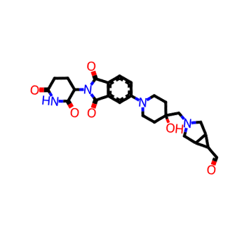 O=CC1C2CN(CC3(O)CCN(c4ccc5c(c4)C(=O)N(C4CCC(=O)NC4=O)C5=O)CC3)CC12